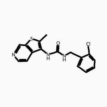 Cc1sc2cnccc2c1NC(=O)NCc1ccccc1Cl